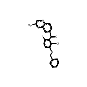 Cc1cnc2ccc(C(=O)c3c(F)ccc(OCc4ccccc4)c3Cl)cc2n1